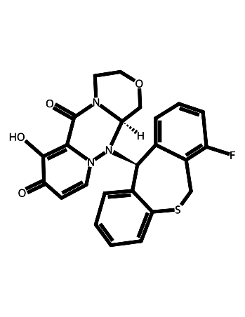 O=C1c2c(O)c(=O)ccn2N([C@@H]2c3ccccc3SCc3c(F)cccc32)[C@@H]2COCCN12